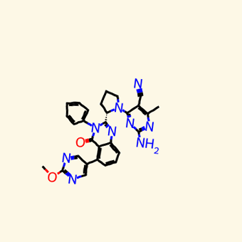 COc1ncc(-c2cccc3nc([C@@H]4CCCN4c4nc(N)nc(C)c4C#N)n(-c4ccccc4)c(=O)c23)cn1